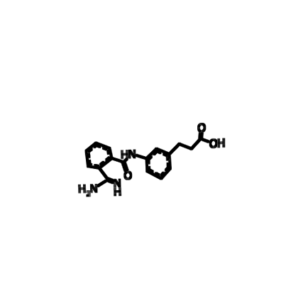 N=C(N)c1ccccc1C(=O)Nc1cccc(CCC(=O)O)c1